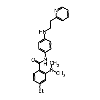 CCc1ccc(C(=O)Nc2ccc(NCCc3ccccn3)cc2)c(N(C)C)c1